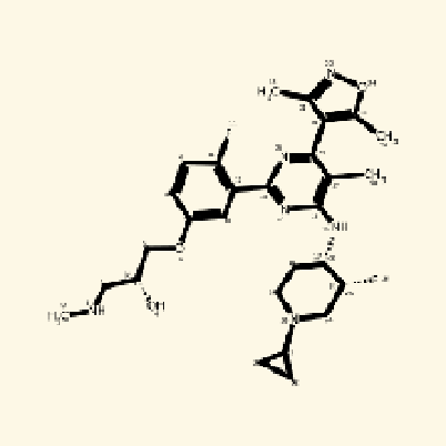 CNC[C@@H](O)COc1ccc(F)c(-c2nc(N[C@H]3CCN(C4CC4)C[C@H]3F)c(C)c(-c3c(C)noc3C)n2)c1